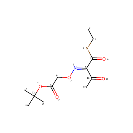 CCSC(=O)C(=NOCC(=O)OC(C)(C)C)C(C)=O